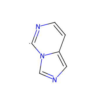 [c]1nccc2cncn12